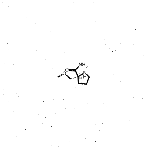 COC[C@@]1(C(N)=O)CCCN1